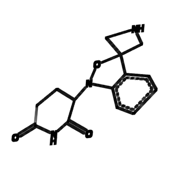 O=C1CCC(N2OC3(CNC3)c3ccccc32)C(=O)N1